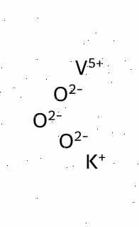 [K+].[O-2].[O-2].[O-2].[V+5]